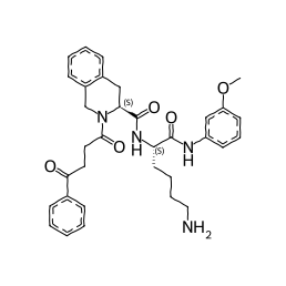 COc1cccc(NC(=O)[C@H](CCCCN)NC(=O)[C@@H]2Cc3ccccc3CN2C(=O)CCC(=O)c2ccccc2)c1